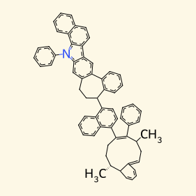 CC1C/C=C2\C=CC=CC2[C@H](C)CC/C(c2ccc(C3CCc4cc5c(cc4-c4ccccc43)c3ccc4ccccc4c3n5-c3ccccc3)c3ccccc23)=C\1c1ccccc1